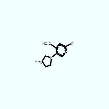 O=C(O)c1cc(Br)ncc1N1CC[C@H](F)C1